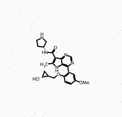 COc1ccc(OCC2CC2)c(-c2ncnc3c(C(=O)N[C@@H]4CCNC4)c(C)[nH]c23)c1.Cl